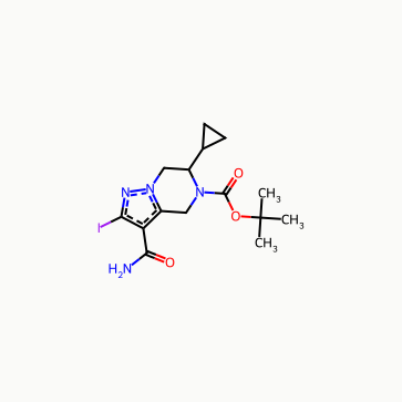 CC(C)(C)OC(=O)N1Cc2c(C(N)=O)c(I)nn2CC1C1CC1